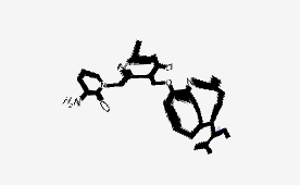 C=C(C)/C(=C\C)c1cc(C)nc2c(OCc3c(Cl)cc(C)nc3Cn3cccc(N)c3=O)cccc12